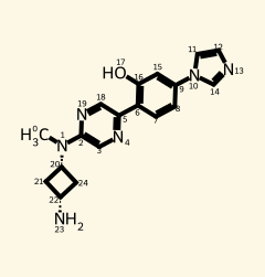 CN(c1cnc(-c2ccc(-n3ccnc3)cc2O)cn1)[C@H]1C[C@@H](N)C1